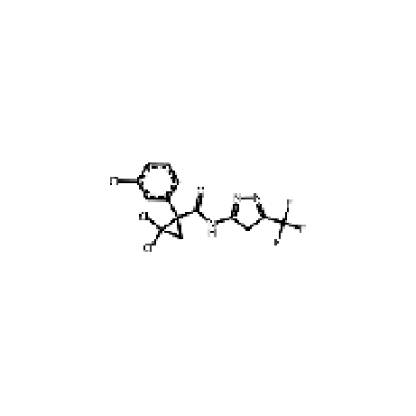 O=C(NC1=NN=C(C(F)(F)F)C1)C1(c2cccc(Cl)c2)CC1(Cl)Cl